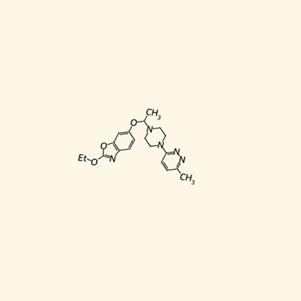 CCOc1nc2ccc(OC(C)N3CCN(c4ccc(C)nn4)CC3)cc2o1